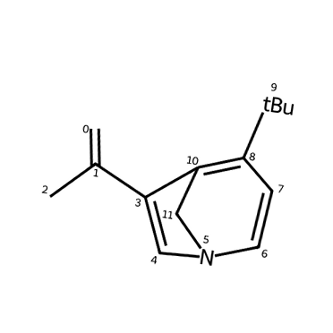 C=C(C)C1=CN2C=CC(C(C)(C)C)=C1C2